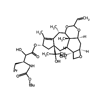 C=CC1OC2[C@@H](C)C3=C(C)[C@@H](OC(=O)C(O)[C@H](CC(C)C)NC(=O)OC(C)(C)C)C[C@@]3(C(C)(C)O)[C@@H](C)[C@@H]3[C@]4(OC(C)=O)CO[C@@H]4C[C@H](O1)[C@@]23C